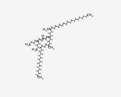 CCCCCCCCCCCCCCCCCCCC(C)CCCN(C=CNC=CN(CCCC)CCCC)CCCC(C)CCCCCCCCCCCCCCCCCCC